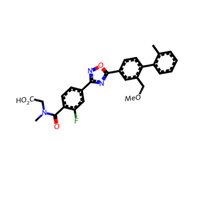 COCc1cc(-c2nc(-c3ccc(C(=O)N(C)CC(=O)O)c(F)c3)no2)ccc1-c1ccccc1C